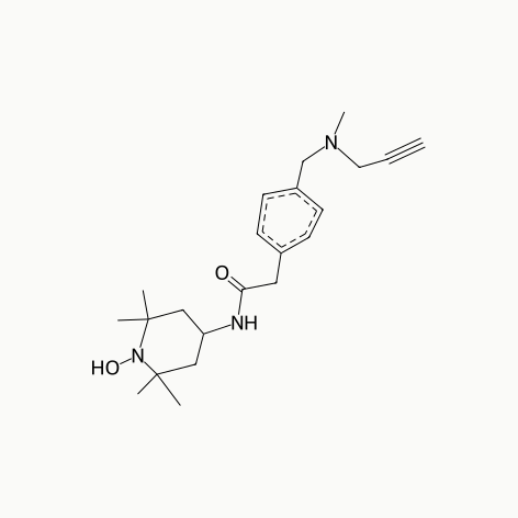 C#CCN(C)Cc1ccc(CC(=O)NC2CC(C)(C)N(O)C(C)(C)C2)cc1